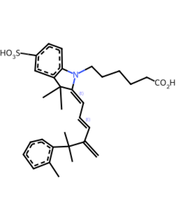 C=C(/C=C/C=C1/N(CCCCCC(=O)O)c2ccc(S(=O)(=O)O)cc2C1(C)C)C(C)(C)c1ccccc1C